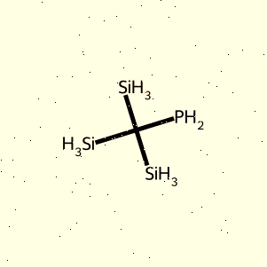 [SiH3]C([SiH3])([SiH3])P